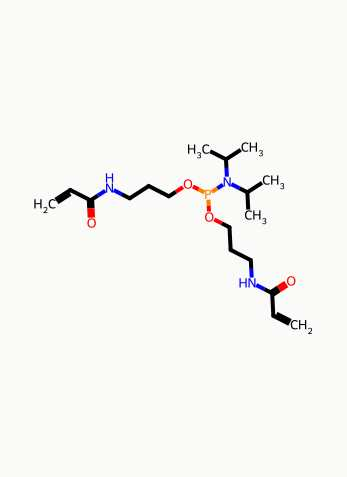 C=CC(=O)NCCCOP(OCCCNC(=O)C=C)N(C(C)C)C(C)C